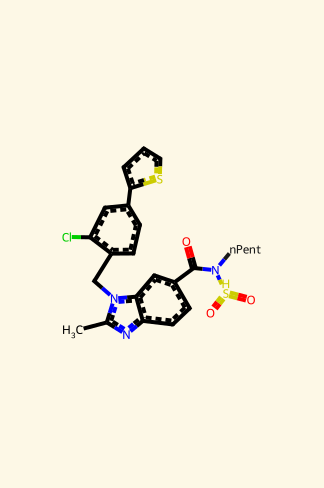 CCCCCN(C(=O)c1ccc2nc(C)n(Cc3ccc(-c4cccs4)cc3Cl)c2c1)[SH](=O)=O